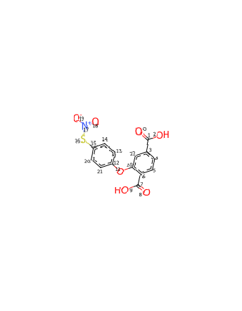 O=C(O)c1ccc(C(=O)O)c(Oc2ccc(S[N+](=O)[O-])cc2)c1